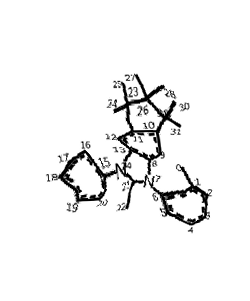 Cc1ccccc1N1c2cc3c(cc2N(c2ccccc2)C1C)C(C)(C)C(C)(C)C3(C)C